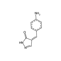 Nc1ccc(/C=C2/C=NNC2=O)cc1